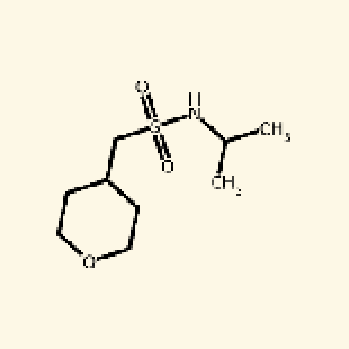 CC(C)NS(=O)(=O)CC1CCOCC1